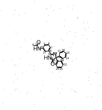 CC(=O)Nc1cccc(C2=NC(c3ccccc3)(c3ccccc3)C(=O)N2)c1